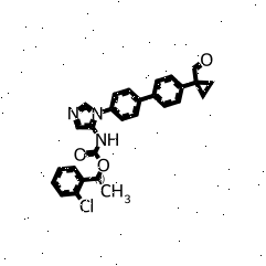 C[C@@H](OC(=O)Nc1cncn1-c1ccc(-c2ccc(C3(C=O)CC3)cc2)cc1)c1ccccc1Cl